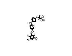 COc1cc(OC)c(F)c(COc2cnc(Nc3ccc(OC(C)(C)C(=O)O)cc3)nc2)c1F